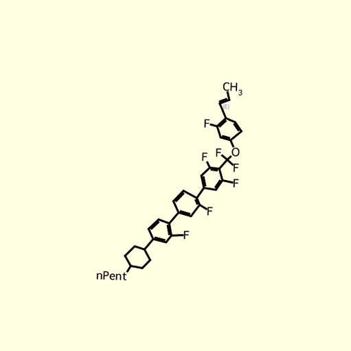 C/C=C/c1ccc(OC(F)(F)c2c(F)cc(-c3ccc(-c4ccc(C5CCC(CCCCC)CC5)cc4F)cc3F)cc2F)cc1F